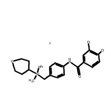 CCC[N+](C)(Cc1ccc(NC(=O)c2ccc(Cl)c(Cl)c2)cc1)C1CCOCC1.[I-]